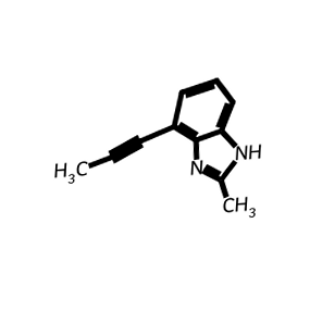 CC#Cc1cccc2[nH]c(C)nc12